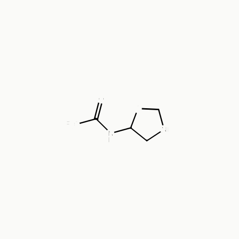 O=C(NC1CNCO1)C(F)(F)F